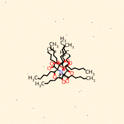 CCCCCC(=O)C[N+](C)(C(C(=O)CCCCC)(C(=O)CCCCC)C(=O)CCCCC)C(C(=O)CCCCC)(C(=O)CCCCC)C(OC(=O)CCCCC)(C(=O)CCCCC)C(=O)CCCCC